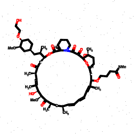 CNC(=O)CCCOC1C[C@@H]2CC[C@@H](C)[C@@](O)(O2)C(=O)C(=O)N2CCCC[C@H]2C(=O)O[C@H]([C@H](C)C[C@@H]2CC[C@@H](OCCO)[C@H](OC)C2)CC(=O)[C@H](C)/C=C(\C)[C@@H](O)[C@@H](OC)C(=O)[C@H](C)C[C@H](C)/C=C/C=C/C=C/1C